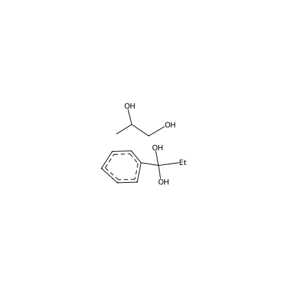 CC(O)CO.CCC(O)(O)c1ccccc1